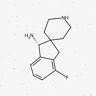 N[C@H]1c2cccc(F)c2CC12CCNCC2